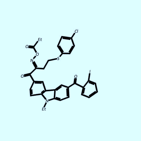 CCC(=O)O/N=C(\CCSc1ccc(Cl)cc1)C(=O)c1ccc2c(c1)c1cc(C(=O)c3ccccc3I)ccc1n2CC